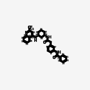 O=C(Cc1cccc(NC(=O)c2ccccc2)c1)N[C@@H]1CCC[C@H](Nc2cc(C(F)(F)F)nc3ccccc23)C1